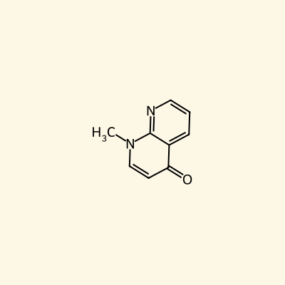 Cn1ccc(=O)c2cccnc21